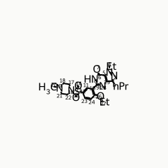 CCCc1nn(CC)c2c(=O)[nH]c(-c3cc(S(=O)(=O)N4CCN(C)CC4)ccc3OCC)nc12